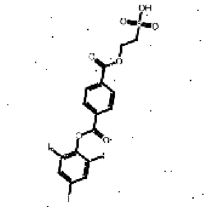 O=C(OCCS(=O)(=O)O)c1ccc(C(=O)Oc2c(I)cc(I)cc2I)cc1